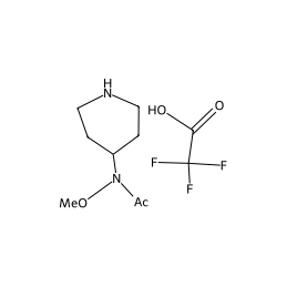 CON(C(C)=O)C1CCNCC1.O=C(O)C(F)(F)F